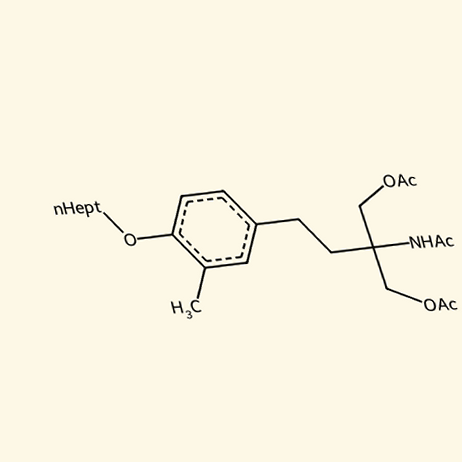 CCCCCCCOc1ccc(CCC(COC(C)=O)(COC(C)=O)NC(C)=O)cc1C